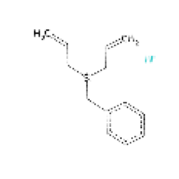 C=CC[Si](CC=C)Cc1ccccc1.F